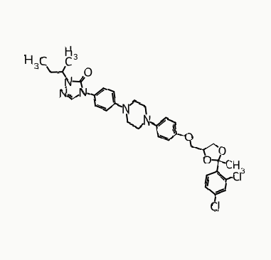 CCC(C)n1ncn(-c2ccc(N3CCN(c4ccc(OCC5COC(C)(c6ccc(Cl)cc6Cl)O5)cc4)CC3)cc2)c1=O